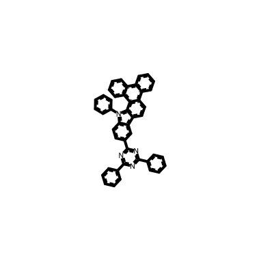 c1ccc(-c2nc(-c3ccccc3)nc(-c3ccc4c(c3)c3ccc5c6ccccc6c6ccccc6c5c3n4-c3ccccc3)n2)cc1